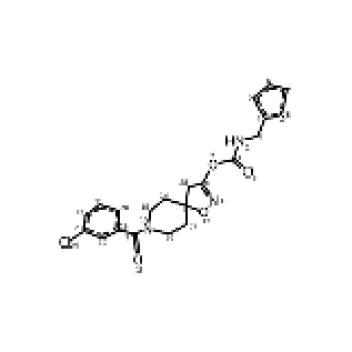 O=C(NCc1cccs1)OC1=NOC2(CCN(C(=O)c3cccc(Cl)c3)CC2)C1